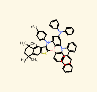 CC(C)(C)c1ccc(N2c3cc(N(c4ccccc4)c4ccccc4)cc4c3B(c3ccc(-c5ccccc5)cc3N4c3ccccc3-c3ccccc3)c3sc4cc5c(cc4c32)C(C)(C)CCC5(C)C)cc1